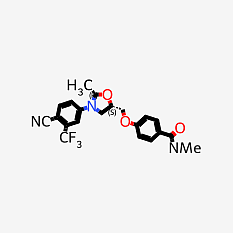 CNC(=O)c1ccc(OC[C@@H]2CN(c3ccc(C#N)c(C(F)(F)F)c3)[C@@H](C)O2)cc1